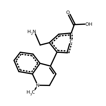 CN1CC=C(c2ccc(C(=O)O)cc2CN)c2ccccc21